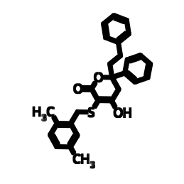 Cc1ccc(C)c(CSC2=C(O)CC(CCc3ccccc3)(c3ccccc3)OC2=O)c1